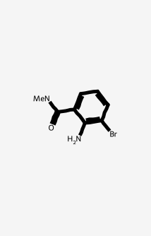 CNC(=O)c1cccc(Br)c1N